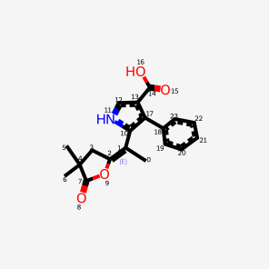 C/C(=C1/CC(C)(C)C(=O)O1)c1[nH]cc(C(=O)O)c1-c1ccccc1